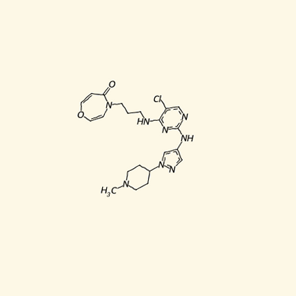 CN1CCC(n2cc(Nc3ncc(Cl)c(NCCCN4C=COC=CC4=O)n3)cn2)CC1